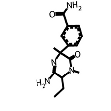 CCC1C(N)=NC(C)(c2cccc(C(N)=O)c2)C(=O)N1C